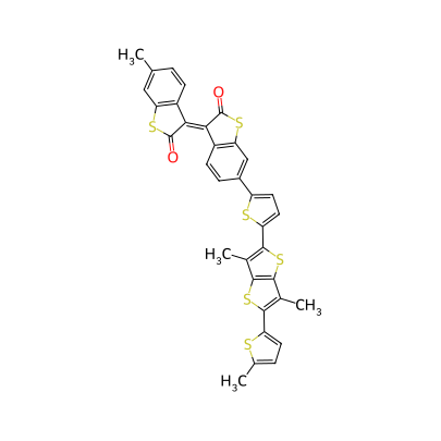 Cc1ccc2c(c1)SC(=O)/C2=C1/C(=O)Sc2cc(-c3ccc(-c4sc5c(C)c(-c6ccc(C)s6)sc5c4C)s3)ccc21